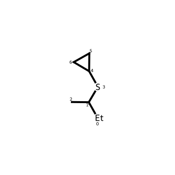 CC[C](C)SC1CC1